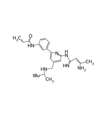 C=CC(=O)Nc1cccc(-c2cc(CNC(C)C(C)(C)C)cc(NC(=N)/C=C(/C)N)n2)c1